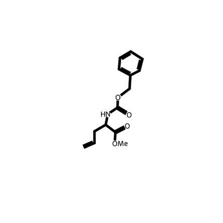 C=CCC(NC(=O)OCc1ccccc1)C(=O)OC